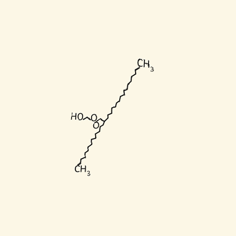 CCCCCCCCCCCCCCCCCCC(CCCCCCCCCCCCCCC)CC(=O)OCCCO